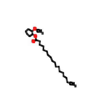 CCCCCCCCCCCCCCCCCC(=O)OC1CCCCC1OC